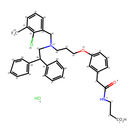 Cl.O=C(O)CCNC(=O)Cc1cccc(OCCCN(Cc2cccc(C(F)(F)F)c2Cl)CC(c2ccccc2)c2ccccc2)c1